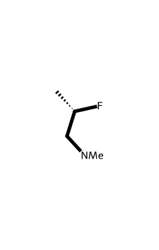 CNC[C@H](C)F